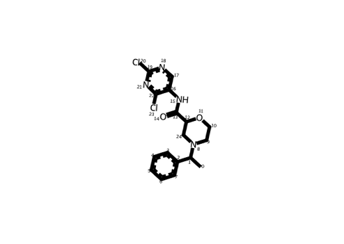 CC(c1ccccc1)N1CCOC(C(=O)Nc2cnc(Cl)nc2Cl)C1